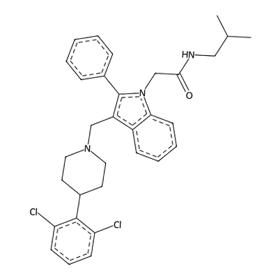 CC(C)CNC(=O)Cn1c(-c2ccccc2)c(CN2CCC(c3c(Cl)cccc3Cl)CC2)c2ccccc21